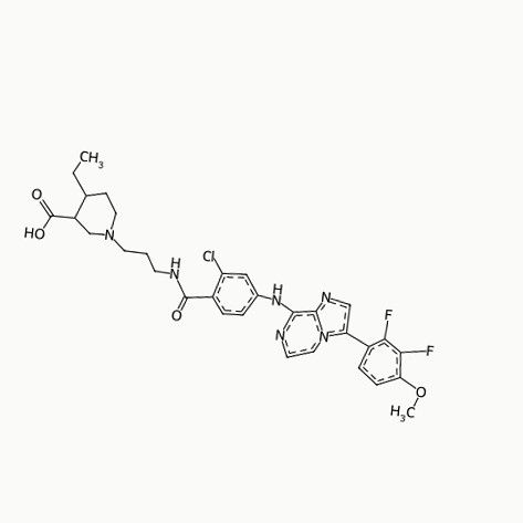 CCC1CCN(CCCNC(=O)c2ccc(Nc3nccn4c(-c5ccc(OC)c(F)c5F)cnc34)cc2Cl)CC1C(=O)O